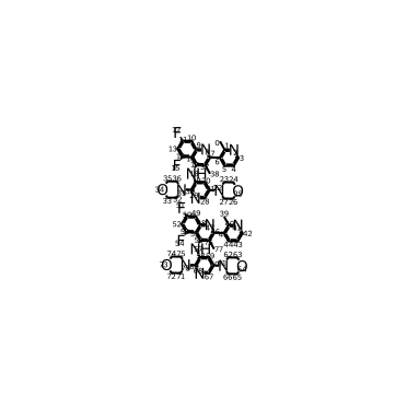 Cc1ncccc1-c1nc2cc(F)cc(F)c2c(Nc2cc(N3CCOCC3)cnc2N2CCOCC2)c1C.Cc1ncccc1-c1nc2cc(F)cc(F)c2c(Nc2cc(N3CCOCC3)cnc2N2CCOCC2)c1C